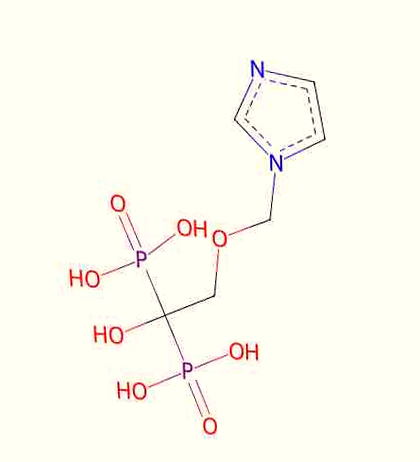 O=P(O)(O)C(O)(COCn1ccnc1)P(=O)(O)O